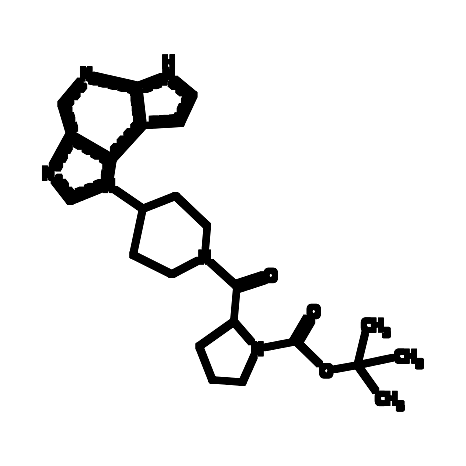 CC(C)(C)OC(=O)N1CCCC1C(=O)N1CCC(n2cnc3cnc4[nH]ccc4c32)CC1